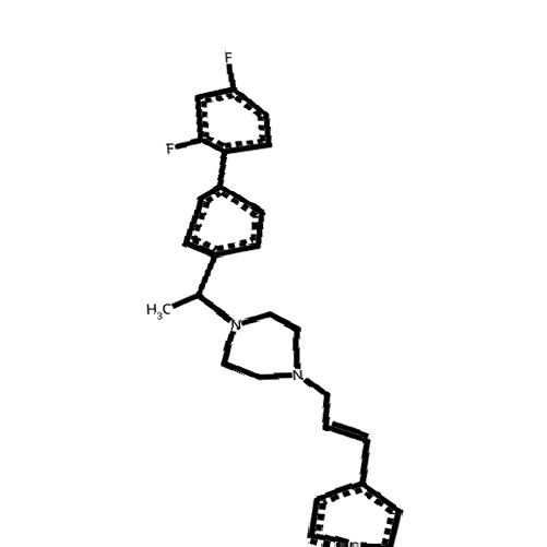 CC(c1ccc(-c2ccc(F)cc2F)cc1)N1CCN(C/C=C/c2ccccc2)CC1